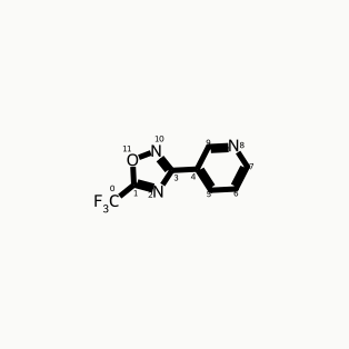 FC(F)(F)c1nc(-c2cccnc2)no1